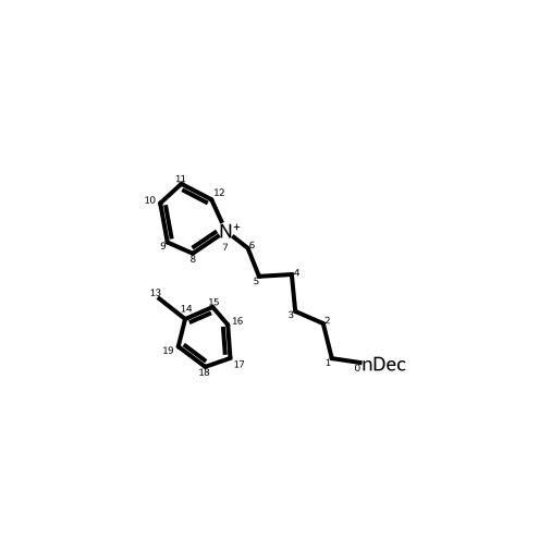 CCCCCCCCCCCCCCCC[n+]1ccccc1.Cc1ccccc1